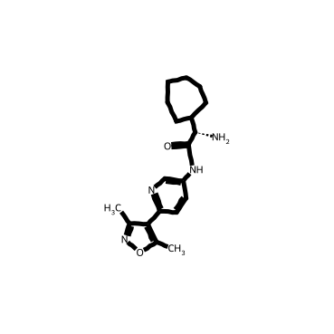 Cc1noc(C)c1-c1ccc(NC(=O)[C@@H](N)C2CCCCCC2)cn1